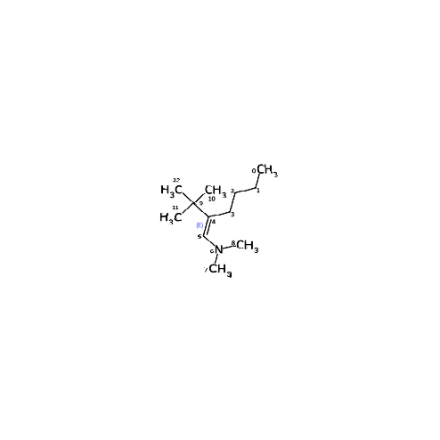 CCCC/C(=C\N(C)C)C(C)(C)C